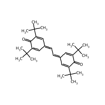 CC(C)(C)C1=CC(=CC=C2C=C(C(C)(C)C)C(=O)C(C(C)(C)C)=C2)C=C(C(C)(C)C)C1=O